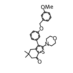 COc1cccc(COc2cccc(-c3c(N4CCOCC4)sc4c3CC(C)(C)CC4=O)c2)c1